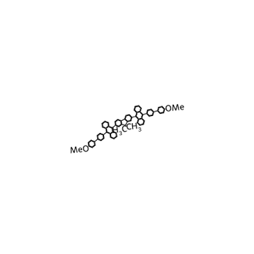 COc1ccc(-c2ccc(-c3c4ccccc4c(-c4ccc5c(c4)C(C)(C)c4cc(-c6c7ccccc7c(-c7ccc(-c8ccc(OC)cc8)cc7)c7ccccc67)ccc4-5)c4ccccc34)cc2)cc1